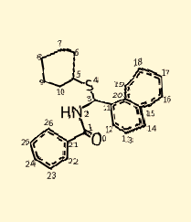 O=C(NC(SC1CCCCC1)c1cccc2ccccc12)c1ccccc1